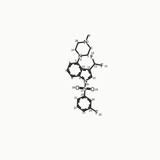 CN1CCN(c2cccc3c2c(C(F)F)cn3S(=O)(=O)c2cccc(F)c2)CC1